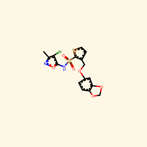 Cc1noc(NS(=O)(=O)c2sccc2COc2ccc3c(c2)OCO3)c1Br